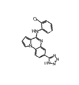 Clc1ccccc1Nc1nc2cc(-c3nnn[nH]3)ccc2n2cccc12